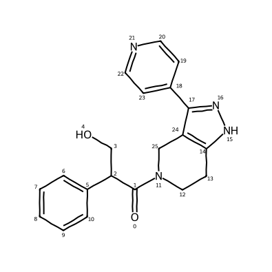 O=C(C(CO)c1ccccc1)N1CCc2[nH]nc(-c3ccncc3)c2C1